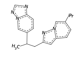 CC(C)c1ccc2cc(CC(C)c3ccc4ncnn4c3)nn2c1